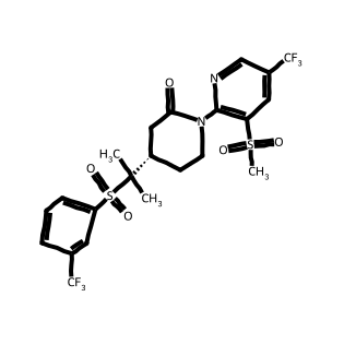 CC(C)([C@H]1CCN(c2ncc(C(F)(F)F)cc2S(C)(=O)=O)C(=O)C1)S(=O)(=O)c1cccc(C(F)(F)F)c1